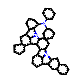 c1ccc(N(c2ccccc2)c2cccc3c4cc5ccccc5c5c6c7c8cccc9c%10cc%11ccccc%11cc%10n(c7ccc6n(c23)c45)c98)cc1